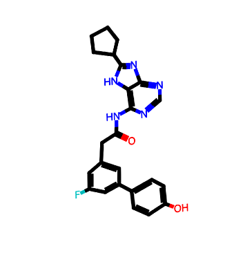 O=C(Cc1cc(F)cc(-c2ccc(O)cc2)c1)Nc1ncnc2nc(C3CCCC3)[nH]c12